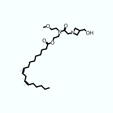 CCCCC/C=C\C/C=C\CCCCCCCC(=O)OCCN(CCOC)C(=O)CN1CC(CO)C1